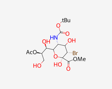 COC(=O)[C@@]1(O)OC([C@H](O)[C@@H](CO)OC(C)=O)[C@H](NC(=O)OC(C)(C)C)C(O)[C@@H]1Br